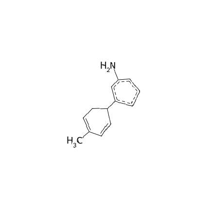 CC1=CCC(c2cccc(N)c2)C=C1